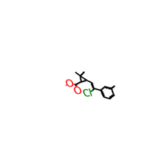 COC(=O)C1C(C=C(Cl)c2cccc(C)c2)C1(C)C